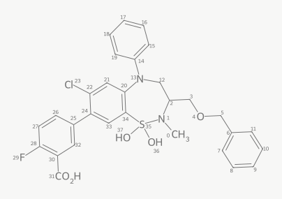 CN1C(COCc2ccccc2)CN(c2ccccc2)c2cc(Cl)c(-c3ccc(F)c(C(=O)O)c3)cc2S1(O)O